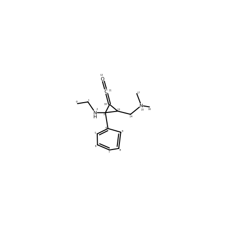 CCNC1(c2ccccc2)C(=C=O)C1CN(C)C